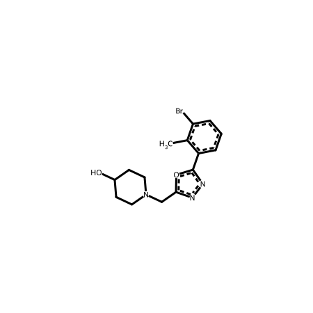 Cc1c(Br)cccc1-c1nnc(CN2CCC(O)CC2)o1